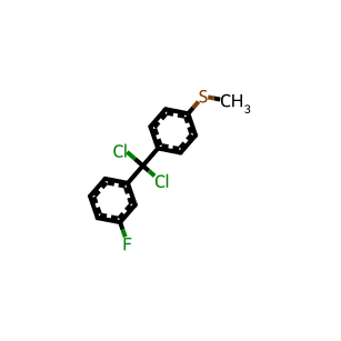 CSc1ccc(C(Cl)(Cl)c2cccc(F)c2)cc1